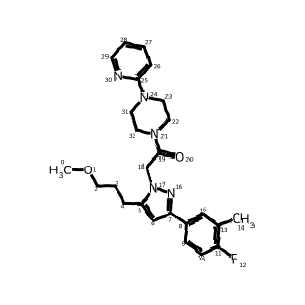 COCCCc1cc(-c2ccc(F)c(C)c2)nn1CC(=O)N1CCN(c2ccccn2)CC1